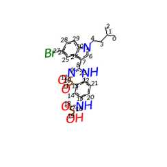 CC(C)CCn1cc(C2=NS(=O)(=O)c3cc(NS(=O)O)ccc3N2)c2cc(Br)ccc21